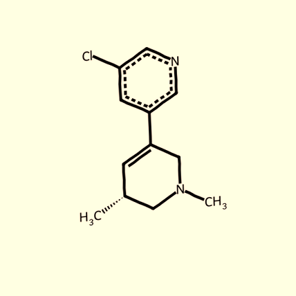 C[C@@H]1C=C(c2cncc(Cl)c2)CN(C)C1